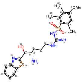 COc1cc(C)c(S(=O)(=O)NC(=N)NCCC[C@H](N)C(O)c2nc3ccccc3s2)c(C)c1C